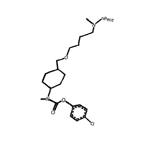 CCCCCN(C)CCCCOCC1CCC(N(C)C(=O)Oc2ccc(Cl)cc2)CC1